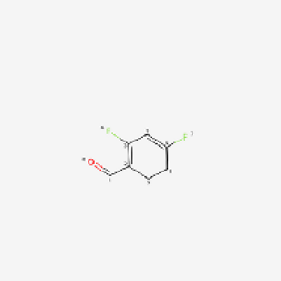 O=CC1=C(F)C=C(F)CC1